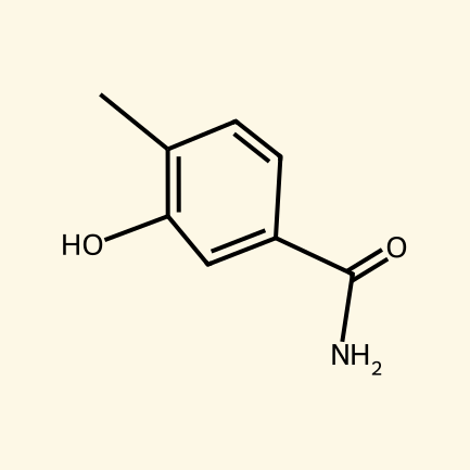 Cc1ccc(C(N)=O)cc1O